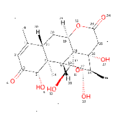 CC1=CC(=O)[C@@H](O)[C@]2(C)[C@H]3[C@@H](O)[C@@H](O)[C@@]4(C)OC[C@@]35[C@@H](C[C@@H]12)OC(=O)C[C@]54O